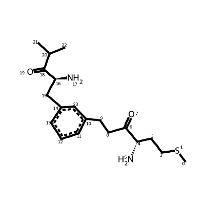 CSCC[C@H](N)C(=O)CCc1cccc(C[C@H](N)C(=O)C(C)C)c1